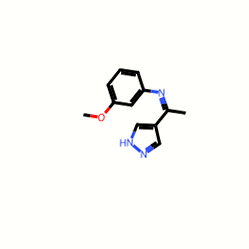 COc1cccc(N=C(C)c2cn[nH]c2)c1